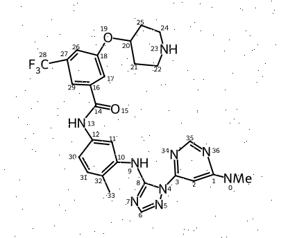 CNc1cc(-n2ncnc2Nc2cc(NC(=O)c3cc(OC4CCNCC4)cc(C(F)(F)F)c3)ccc2C)ncn1